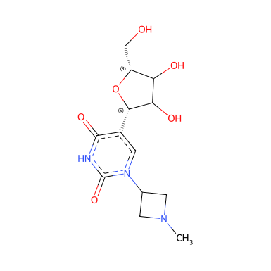 CN1CC(n2cc([C@@H]3O[C@H](CO)C(O)C3O)c(=O)[nH]c2=O)C1